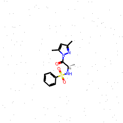 Cc1cc(C)n(C(=O)[C@H](C)NS(=O)(=O)c2ccccc2)n1